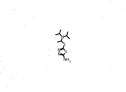 CC(C)N(C(C)C)C(C)Sc1nnc(N)s1